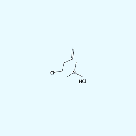 C=CCCCl.CN(C)C.Cl